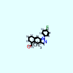 C[C@]12Cc3cnn(-c4ccc(F)cc4)c3C=C1CCCC2C=O